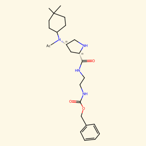 CC(=O)N(C1CCC(C)(C)CC1)[C@@H]1CN[C@H](C(=O)NCCNC(=O)OCc2ccccc2)C1